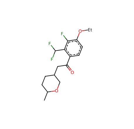 CCOc1ccc(C(=O)CC2CCC(C)OC2)c(C(F)F)c1F